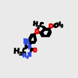 COc1cccc(Oc2ccc(N(C(C)=N)C(N)=O)cc2)c1C